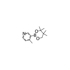 Cc1ccncc1B1OCC(C)(C)C(C)(C)O1